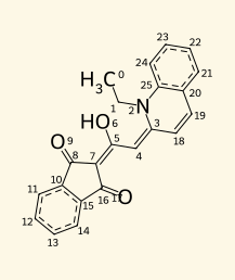 CCN1C(=CC(O)=C2C(=O)c3ccccc3C2=O)C=Cc2ccccc21